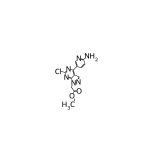 CCOC(=O)Cn1ncc2c(-c3ccc(N)nc3)nc(Cl)nc21